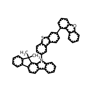 CC1(C)c2ccccc2-c2ccc3c4ccccc4n(-c4ccc5sc6cc(-c7cccc8oc9ccccc9c78)ccc6c5c4)c3c21